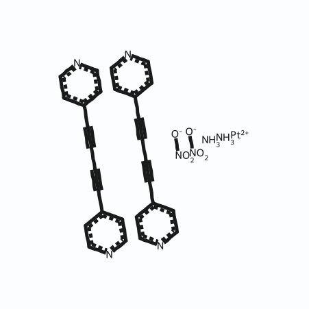 C(C#Cc1ccncc1)#Cc1ccncc1.C(C#Cc1ccncc1)#Cc1ccncc1.N.N.O=[N+]([O-])[O-].O=[N+]([O-])[O-].[Pt+2]